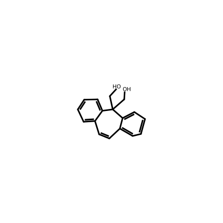 OCC1(CO)c2ccccc2C=Cc2ccccc21